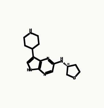 c1nc2[nH]cc(C3CCNCC3)c2nc1N[C@@H]1CCOC1